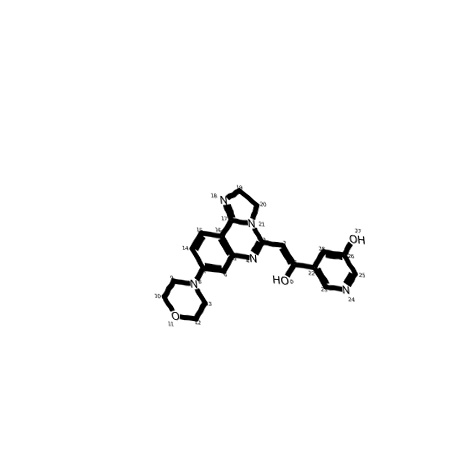 OC(=CC1=Nc2cc(N3CCOCC3)ccc2C2=NCCN12)c1cncc(O)c1